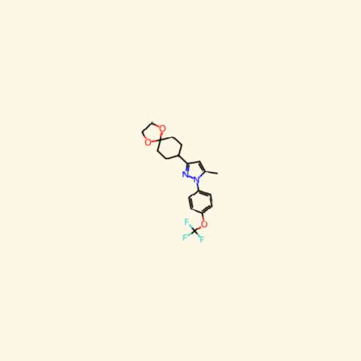 Cc1cc(C2CCC3(CC2)OCCO3)nn1-c1ccc(OC(F)(F)F)cc1